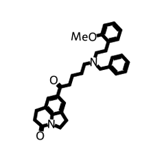 COc1ccccc1CCN(CCCCC(=O)c1cc2c3c(c1)CCN3C(=O)CC2)Cc1ccccc1